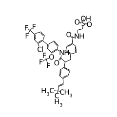 CC(C)(C)/C=C/c1ccc(C(Cc2ccc(C(=O)NCCS(=O)(=O)O)cc2)C(=O)Nc2ccc(-c3ccc(C(F)(F)F)cc3Cl)cc2OC(F)(F)F)cc1